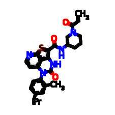 C=CC(=O)N1CCCC(NC(=O)c2sc3nccc4c3c2NC(=O)N4c2ccc(C(C)C)cc2C)C1